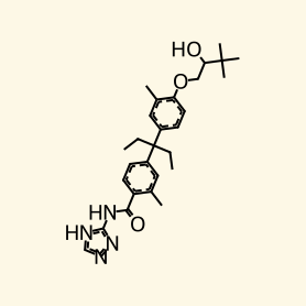 CCC(CC)(c1ccc(OCC(O)C(C)(C)C)c(C)c1)c1ccc(C(=O)Nc2nnc[nH]2)c(C)c1